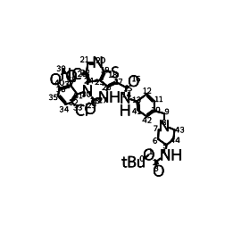 CC(C)(C)OC(=O)NC1CCN(Cc2ccc(NC(=O)c3sc4ncc(C#N)c5c4c3NC(=O)N5c3c(Cl)ccc4c3OCO4)cc2)CC1